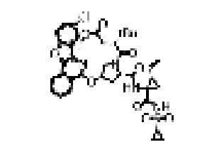 C=C[C@@H]1C[C@]1(NC(=O)[C@@H]1C[C@@H](Oc2nc3c4cc(Cl)ccc4oc3c3ccccc23)CN1C(=O)[C@@H](CC(=O)OC(C)(C)C)C(C)(C)C)C(=O)NS(=O)(=O)C1CC1